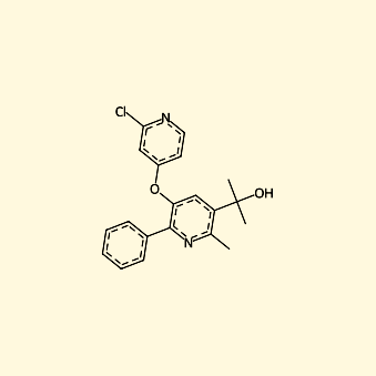 Cc1nc(-c2ccccc2)c(Oc2ccnc(Cl)c2)cc1C(C)(C)O